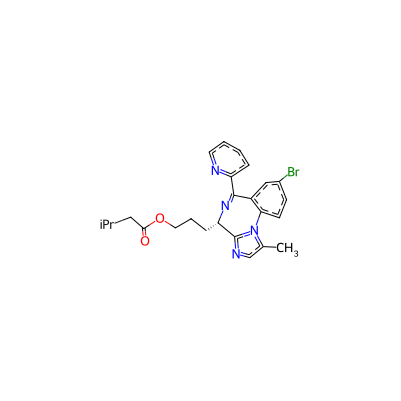 Cc1cnc2n1-c1ccc(Br)cc1C(c1ccccn1)=N[C@H]2CCCOC(=O)CC(C)C